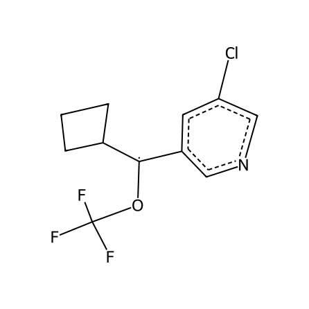 FC(F)(F)O[C](c1cncc(Cl)c1)C1CCC1